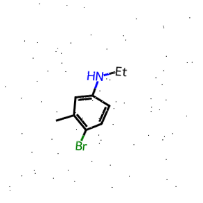 CCNc1ccc(Br)c(C)c1